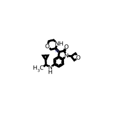 CC(Nc1ccc2c(c1)/C(=C1\COCCN1)C(=O)N2C1COC1)C1CC1